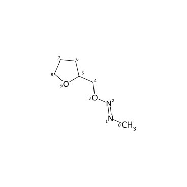 CN=NOCC1CCCO1